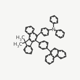 CC1(C)c2ccccc2-c2c(-c3ccc(-c4cc5ccccc5c5ccccc45)cc3)c(-c3ccc(N(c4ccccc4)c4ccccc4)cc3)c3ccccc3c21